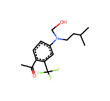 CC(=O)c1ccc(N(CO)CCC(C)C)cc1C(F)(F)F